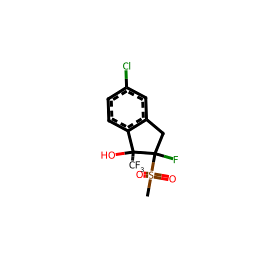 CS(=O)(=O)C1(F)Cc2cc(Cl)ccc2C1(O)C(F)(F)F